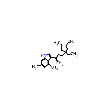 C=C(CCC(CC)(CCC)CCC)c1c[nH]c2cc(C)cc(C)c12